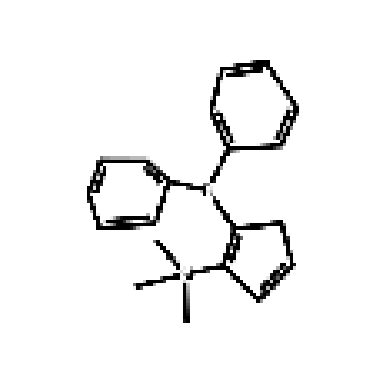 C[Si](C)(C)C1=C(B(c2ccccc2)c2ccccc2)CC=C1